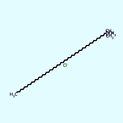 CCCCCCCCCCCCCCCCCCCCCCCCCCCCCCCCCCCCCCCCCCCCCCCCCC[P+](C)(C)C.[Cl-]